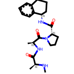 CN[C@@H](C)C(=O)N[C@@H](C)C(=O)N1CCC[C@H]1C(=O)N[C@H]1CCCc2ccccc21